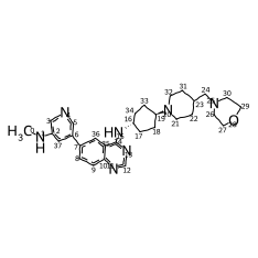 CNc1cncc(-c2ccc3ncnc(N[C@H]4CC[C@H](N5CCC(CN6CCOCC6)CC5)CC4)c3c2)c1